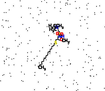 CCCCCCCCCCCCCCCCSCC(CNS(=O)(=O)CCC[N+](C)(C)C)COC